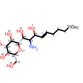 CCCCCCCCCCCCC/C=C/C(O)C(N)C(O)[C@@H]1O[C@H](CO)[C@@H](O)[C@H](O)[C@H]1O